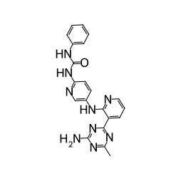 Cc1nc(N)nc(-c2cccnc2Nc2ccc(NC(=O)Nc3ccccc3)nc2)n1